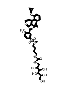 CN(CCCCNC(=O)NCC(O)C(O)C(O)C(O)CO)S(=O)(=O)c1ccc(C(F)(F)F)c(COC2(c3cnccc3-c3ccccc3OC3CC3)CC2)c1